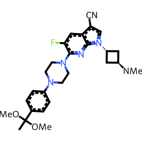 CN[C@H]1C[C@H](n2cc(C#N)c3cc(F)c(N4CCN(c5ccc(C(C)(OC)OC)cc5)CC4)nc32)C1